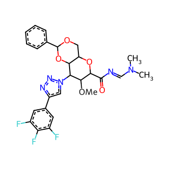 COC1C(C(=O)/N=C/N(C)C)OC2COC(c3ccccc3)OC2C1n1cc(-c2cc(F)c(F)c(F)c2)nn1